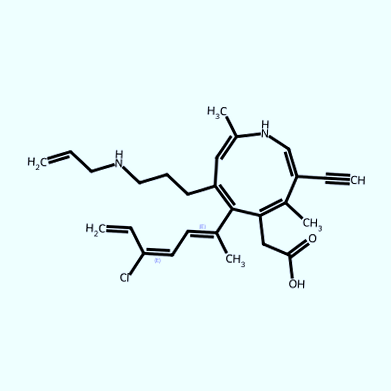 C#Cc1c[nH]c(C)cc(CCCNCC=C)c(/C(C)=C/C=C(/Cl)C=C)c(CC(=O)O)c1C